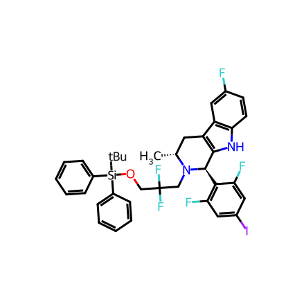 C[C@@H]1Cc2c([nH]c3ccc(F)cc23)[C@@H](c2c(F)cc(I)cc2F)N1CC(F)(F)CO[Si](c1ccccc1)(c1ccccc1)C(C)(C)C